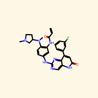 C=CC(=O)Nc1cc(Nc2ncc3[nH]c(=O)cc(-c4cccc(F)c4)c3n2)ccc1N(C)C1CCN(C)C1